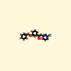 O/C(=C\c1ccnc(Cl)n1)c1cccc(OCc2ccccc2)c1